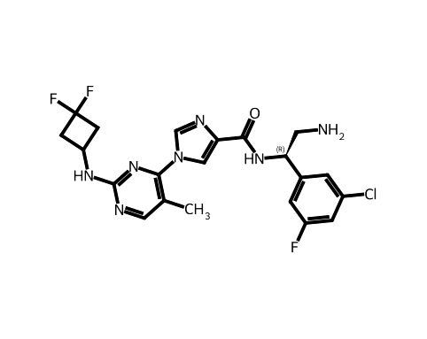 Cc1cnc(NC2CC(F)(F)C2)nc1-n1cnc(C(=O)N[C@@H](CN)c2cc(F)cc(Cl)c2)c1